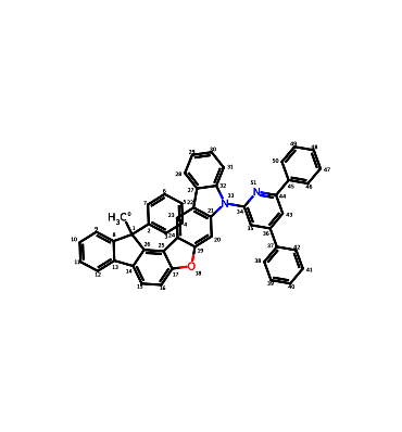 CC1(c2ccccc2)c2ccccc2-c2ccc3oc4cc5c(cc4c3c21)c1ccccc1n5-c1cc(-c2ccccc2)cc(-c2ccccc2)n1